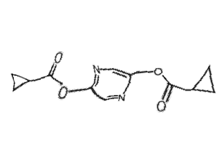 O=C(Oc1cnc(OC(=O)C2CC2)cn1)C1CC1